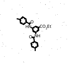 CCOC(=O)c1cc(NC(=O)c2ccc(C)cc2)cc(NC(=O)c2ccc(C)cc2)c1